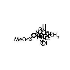 CCC(Nc1c(-c2nc3ccc(OCCOC)cc3[nH]2)c(=O)[nH]c2cn(C)nc12)c1ncccn1